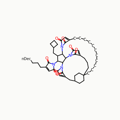 CCCCCCCCCCCCCC1=CC(=O)N(C2C(CC3CCC3)C3C4C2N2C(=O)C=C(CC5CCC(CCCCCCCCCCCC6=CC(=O)N3C6=O)(CCCC3=CC(=O)N4C3=O)CC5)C2=O)C1=O